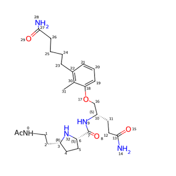 CC(=O)NCC[C@H]1CC[C@@H](C(=O)N[C@@H](CCC(N)=O)COc2cccc(CCCCC(N)=O)c2C)N1